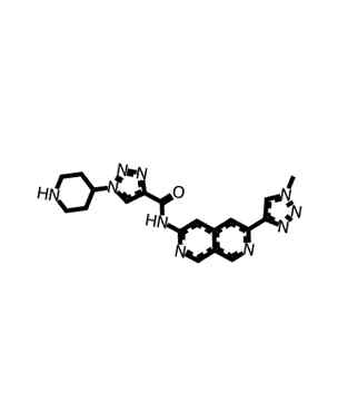 Cn1cc(-c2cc3cc(NC(=O)c4cn(C5CCNCC5)nn4)ncc3cn2)nn1